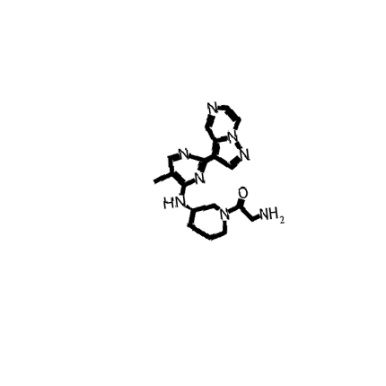 Cc1cnc(-c2cnn3ccncc23)nc1N[C@@H]1CCCN(C(=O)CN)C1